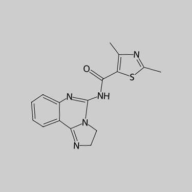 Cc1nc(C)c(C(=O)NC2=Nc3ccccc3C3=NCCN23)s1